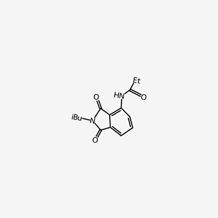 CCC(=O)Nc1cccc2c1C(=O)N(C(C)CC)C2=O